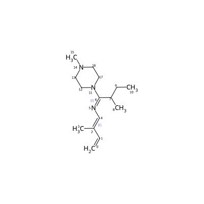 C=C/C(C)=C/N=C(\C(C)CC)N1CCN(C)CC1